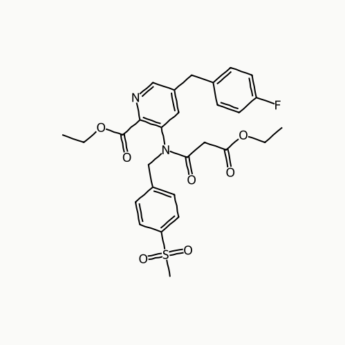 CCOC(=O)CC(=O)N(Cc1ccc(S(C)(=O)=O)cc1)c1cc(Cc2ccc(F)cc2)cnc1C(=O)OCC